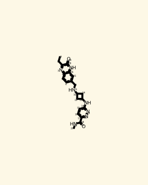 CCc1nc2ccc(CNC3CC(Nc4ccc(C(=O)NC)nn4)C3)cc2[nH]c1=O